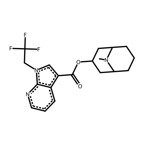 CN1C2CCCC1CC(OC(=O)c1cn(CC(F)(F)F)c3ncccc13)C2